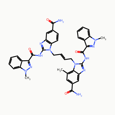 Cc1cc(C(N)=O)cc2nc(NC(=O)c3nn(C)c4ccccc34)n(CC=CCn3c(NC(=O)c4nn(C)c5ccccc45)nc4cc(C(N)=O)ccc43)c12